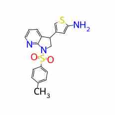 Cc1ccc(S(=O)(=O)N2CC(c3csc(N)c3)c3cccnc32)cc1